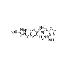 CCCCc1cn(Cc2ccc(-c3noc(C4CCCN4C(=N)N)n3)cc2)nn1